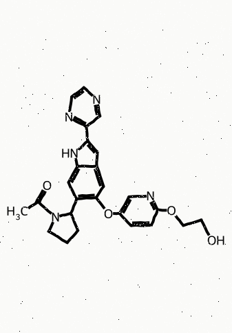 CC(=O)N1CCCC1c1cc2[nH]c(-c3cnccn3)cc2cc1Oc1ccc(OCCO)nc1